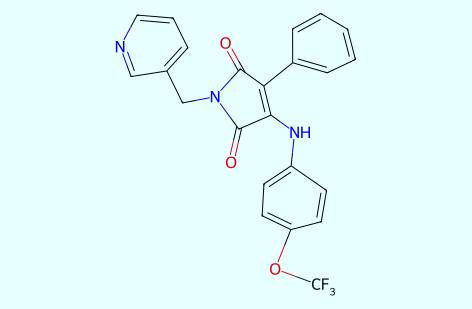 O=C1C(Nc2ccc(OC(F)(F)F)cc2)=C(c2ccccc2)C(=O)N1Cc1cccnc1